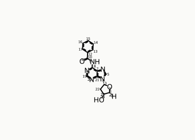 [2H][C@H]1O[C@@H](n2cnc3c(NC(=O)c4ccccc4)ncnc32)C[C@@H]1O